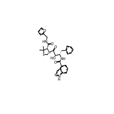 CC1(C)SCN(C(=O)[C@@H](O)[C@H](Cc2ccccc2)NC(=O)c2cccc3[nH]ncc23)[C@@H]1C(=O)NCc1ccco1